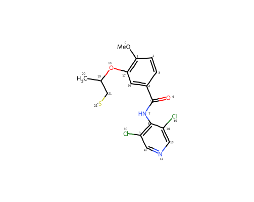 COc1ccc(C(=O)Nc2c(Cl)cncc2Cl)cc1OC(C)C[S]